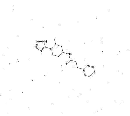 CC1CC(NC(=O)CCc2ccccc2)CCN1c1nnn[nH]1